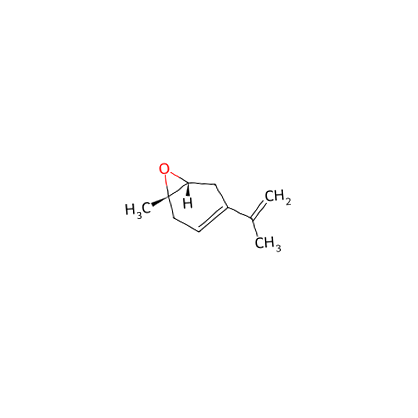 C=C(C)C1=CC[C@]2(C)O[C@@H]2C1